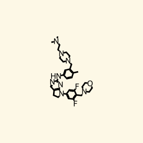 Cc1ccc(Nc2ncc3c(n2)N(c2cc(F)c(CN4CCOCC4)c(F)c2)CC3)cc1CN1CCN(CCN(C)C)CC1